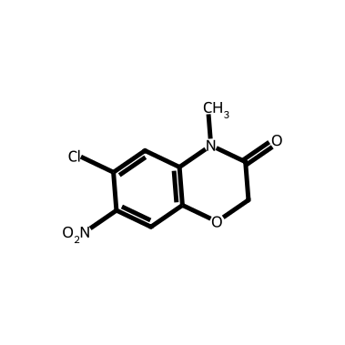 CN1C(=O)COc2cc([N+](=O)[O-])c(Cl)cc21